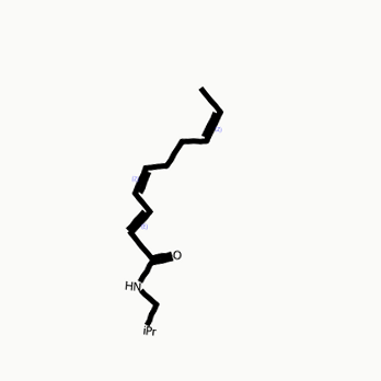 C/C=C\CC/C=C\C=C\C(=O)NCC(C)C